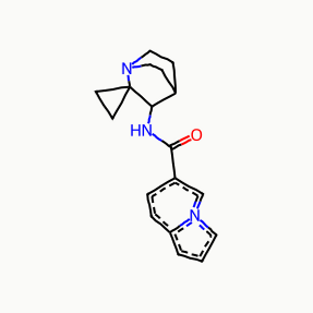 O=C(NC1C2CCN(CC2)C12CC2)c1ccc2cccn2c1